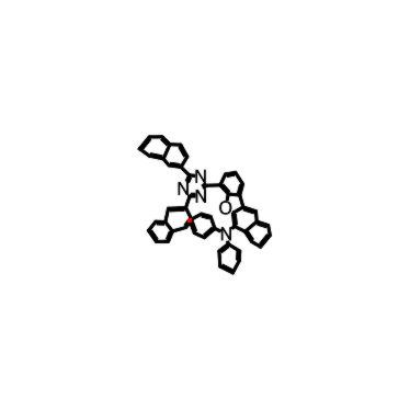 c1ccc(N(c2ccccc2)c2c3ccccc3cc3c2oc2c(-c4nc(-c5ccc6ccccc6c5)nc(-c5ccc6ccccc6c5)n4)cccc23)cc1